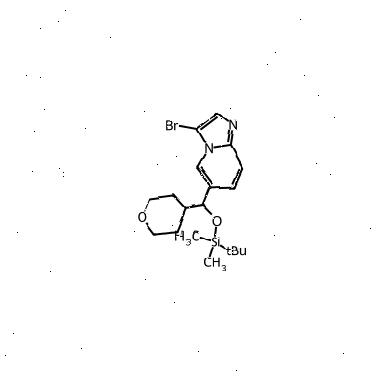 CC(C)(C)[Si](C)(C)OC(c1ccc2ncc(Br)n2c1)C1CCOCC1